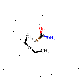 C[CH2][Zn][CH2]C.NC(O)=S